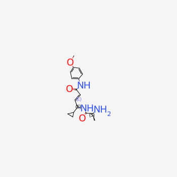 COc1ccc(NC(=O)/C=C/[C@@H](NC(=O)[C@H](C)N)C2CC2)cc1